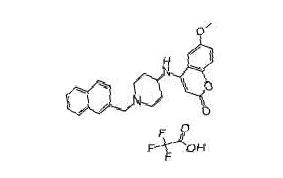 COc1ccc2oc(=O)cc(NC3CCN(Cc4ccc5ccccc5c4)CC3)c2c1.O=C(O)C(F)(F)F